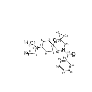 CC(C)CN(C)[C@H]1CC[C@]2(CC1)CN(C(=O)c1ccccc1)CC1(CC1)O2